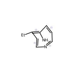 CCC1=C(N)\C=C/C=N\C=C\1